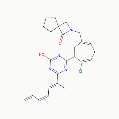 C=C/C=C\C=C(/C)c1nc(O)nc(C2=CC(CN3CC4(CCCC4)C3=O)=CCC=C2Cl)n1